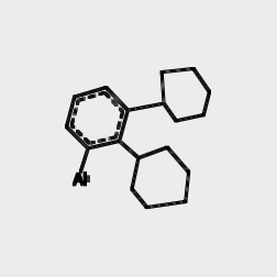 [Al][c]1cccc(C2CCCCC2)c1C1CCCCC1